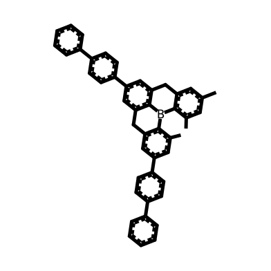 Cc1cc(C)c2c(c1)Cc1cc(-c3ccc(-c4ccccc4)cc3)cc3c1B2c1c(C)cc(-c2ccc(-c4ccccc4)cc2)cc1C3